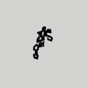 CCN1C(=O)N(C)c2cnc(Nc3cccc(-n4cccc4)c3)nc2N1C1CCCC1